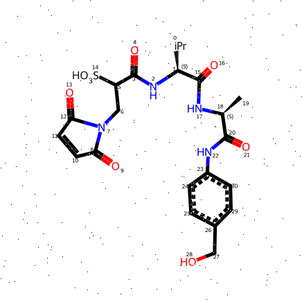 CC(C)[C@H](NC(=O)C(CN1C(=O)C=CC1=O)S(=O)(=O)O)C(=O)N[C@@H](C)C(=O)Nc1ccc(CO)cc1